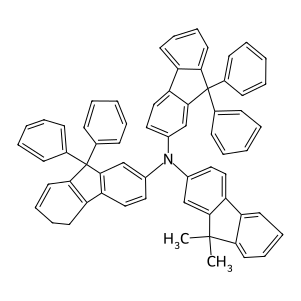 CC1(C)c2ccccc2-c2ccc(N(c3ccc4c(c3)C(c3ccccc3)(c3ccccc3)C3=C4CCC=C3)c3ccc4c(c3)C(c3ccccc3)(c3ccccc3)c3ccccc3-4)cc21